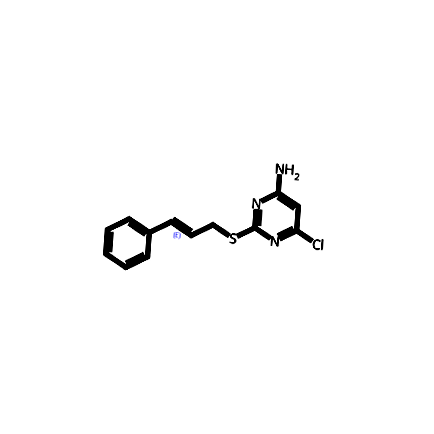 Nc1cc(Cl)nc(SC/C=C/c2ccccc2)n1